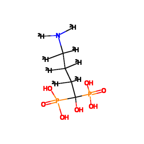 [2H]N([2H])C([2H])([2H])C([2H])([2H])C([2H])([2H])C(O)(P(=O)(O)O)P(=O)(O)O